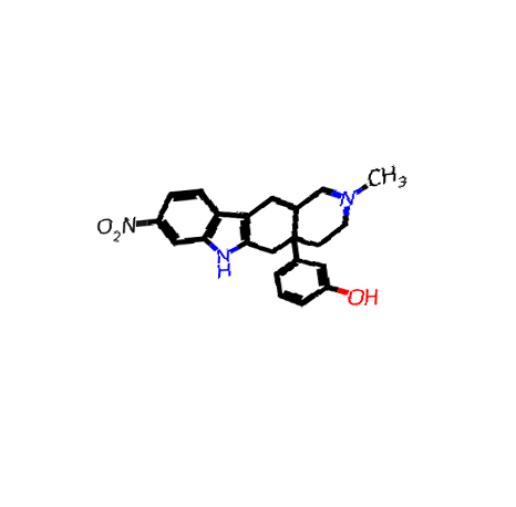 CN1CCC2(c3cccc(O)c3)Cc3[nH]c4cc([N+](=O)[O-])ccc4c3CC2C1